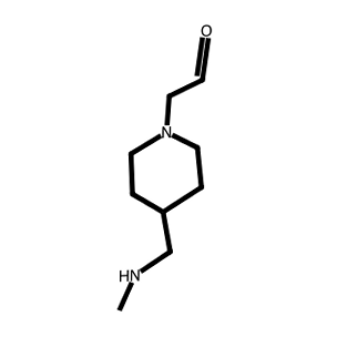 CNCC1CCN(CC=O)CC1